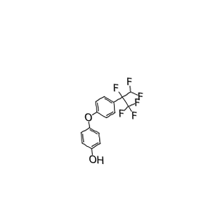 Oc1ccc(Oc2ccc(C(F)(C(F)F)C(F)(F)F)cc2)cc1